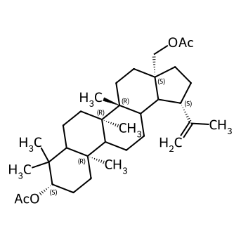 C=C(C)[C@H]1CC[C@]2(COC(C)=O)CC[C@]3(C)C(CCC4[C@@]5(C)CC[C@H](OC(C)=O)C(C)(C)C5CC[C@]43C)C12